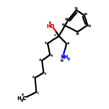 CCCCCCCC(O)(CN)C1C=CC=CC1